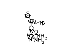 NC(=O)c1c(N)ncnc1N1CCC(c2nc(-c3ccsc3)cn2CCN2CCC2)CC1